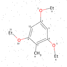 CCOc1cc(OCC)c(C)c(OCC)c1